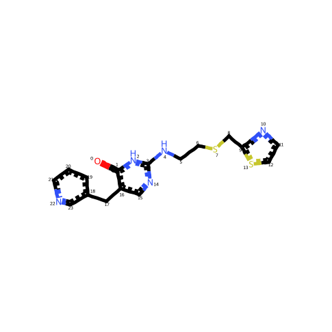 O=c1[nH]c(NCCSCc2nccs2)ncc1Cc1cccnc1